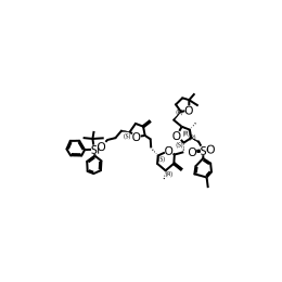 C=C1C[C@H](CCCO[Si](c2ccccc2)(c2ccccc2)C(C)(C)C)OC1CC[C@H]1C[C@@H](C)C(=C)C(C[C@@H]2OC(C[C@H]3CCC(C)(C)O3)[C@H](C)[C@H]2CS(=O)(=O)c2ccc(C)cc2)O1